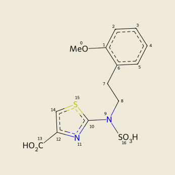 COc1ccccc1CCN(c1nc(C(=O)O)cs1)S(=O)(=O)O